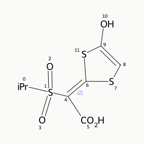 CC(C)S(=O)(=O)/C(C(=O)O)=C1/SC=C(O)S1